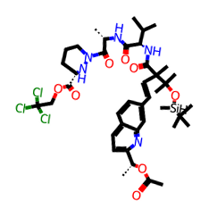 CC(=O)O[C@H](C)c1ccc2ccc(/C=C/C(C)(C(=O)N[C@H](C(=O)N[C@@H](C)C(=O)N3CCC[C@@H](C(=O)OCC(Cl)(Cl)Cl)N3)C(C)C)C(C)(C)O[SiH](C)C(C)(C)C)cc2n1